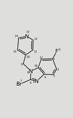 Fc1ccc2nc(Br)n(Cc3ccncc3)c2c1